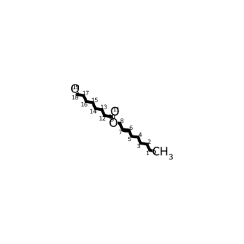 CCCCCCC=CCOC(=O)CCCCCCC=O